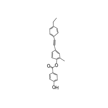 CCc1ccc(C#Cc2ccc(OC(=O)c3ccc(O)cc3)c(C)c2)cc1